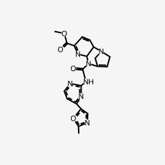 COC(=O)C1=NC2C(C=C1)N1CC=C(C1)N2C(=O)Nc1nccc(-c2cnc(C)o2)n1